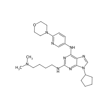 CN(C)CCCCNc1nc(Nc2ccc(N3CCOCC3)nc2)c2ncn(C3CCCC3)c2n1